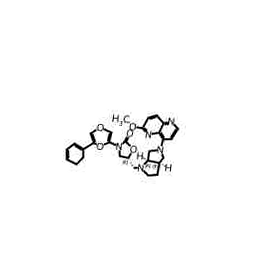 COc1ccc2nccc(N3C[C@H]4CCN(C[C@@H]5CN(C6=COC=C(C7=CC=CCC7)O6)C(=O)O5)[C@H]4C3)c2n1